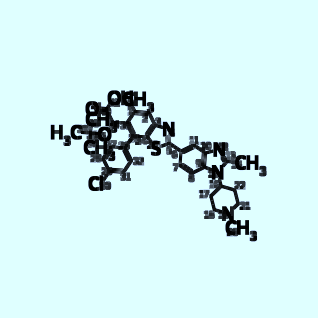 Cc1cc2nc(-c3ccc4c(c3)nc(C)n4C3CCN(C)CC3)sc2c(-c2ccc(Cl)cc2)c1[C@H](OC(C)(C)C)C(=O)O